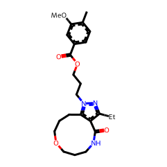 CCc1nn(CCCOC(=O)c2ccc(C)c(OC)c2)c2c1C(=O)NCCCOCCC2